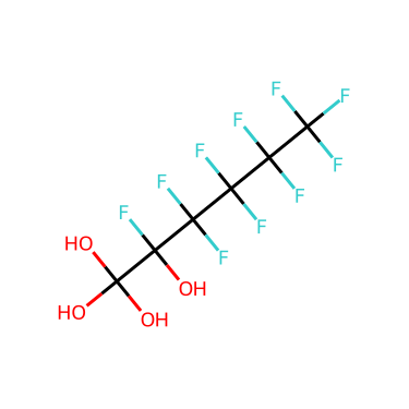 OC(O)(O)C(O)(F)C(F)(F)C(F)(F)C(F)(F)C(F)(F)F